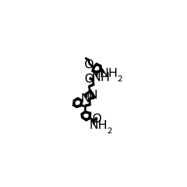 CCOc1ccc(N)c(NC(=O)/C=C/c2cnc(/C=C(\c3ccccc3)c3cccc(C(N)=O)c3)cn2)c1